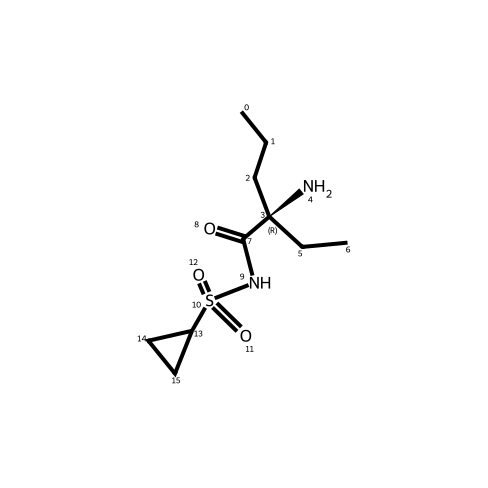 CCC[C@](N)(CC)C(=O)NS(=O)(=O)C1CC1